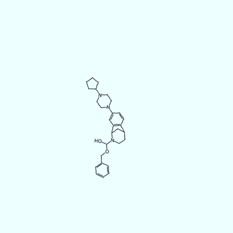 OC(OCc1ccccc1)N1CCC2CC1c1cc(N3CCN(C4CCCC4)CC3)ccc12